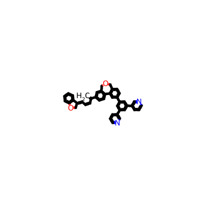 C=C(/C=C\C=C1/COc2ccccc21)c1ccc2c(c1)COCc1ccc(-c3cc(-c4cccnc4)cc(-c4cccnc4)c3)cc1-2